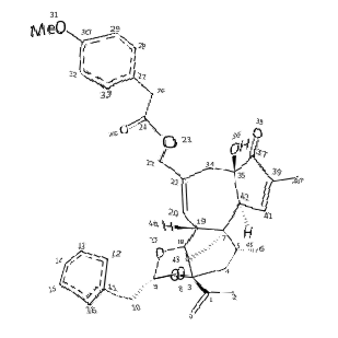 C=C(C)[C@]12C[C@@H](C)[C@@]34O[C@](Cc5ccccc5)(OC1[C@@H]3C=C(COC(=O)Cc1ccc(OC)cc1)C[C@]1(O)C(=O)C(C)=C[C@@H]41)O2